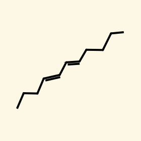 CCCC=C/[C]=C/CCCC